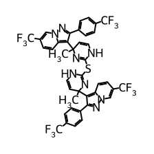 CC1(c2c(-c3ccc(C(F)(F)F)cc3)nn3cc(C(F)(F)F)ccc23)C=CNC(SC2=NC(C)(c3c(-c4ccc(C(F)(F)F)cc4)nn4cc(C(F)(F)F)ccc34)C=CN2)=N1